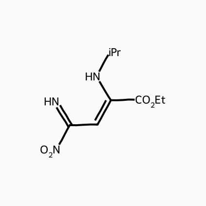 CCOC(=O)/C(=C/C(=N)[N+](=O)[O-])NC(C)C